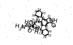 C[C@]12O[C@H](C[C@]1(O)C(=O)NN)n1c3ccccc3c3c4c(c5c6ccccc6n2c5c31)CNC4=O